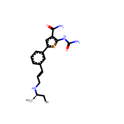 CC(C)C[C@H](NCC=Cc1cccc(-c2cc(C(N)=O)c(NC(N)=O)s2)c1)C(=O)O